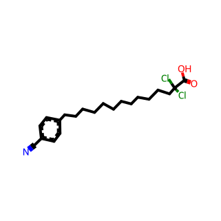 N#Cc1ccc(CCCCCCCCCCCCC(Cl)(Cl)C(=O)O)cc1